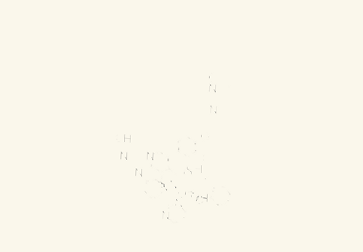 CCN1CCN(c2ccc(-c3nccc(COc4ccccc4CC(Oc4nsc5cnc(C6CCC6)c(-c6ccc(OCCN7CCN(C)CC7)c(Cl)c6C)c45)C(=O)O)n3)nc2)CC1